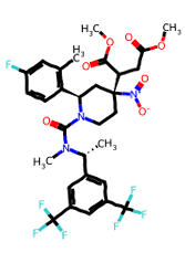 COC(=O)CC(C(=O)OC)[C@@]1([N+](=O)[O-])CCN(C(=O)N(C)[C@H](C)c2cc(C(F)(F)F)cc(C(F)(F)F)c2)[C@@H](c2ccc(F)cc2C)C1